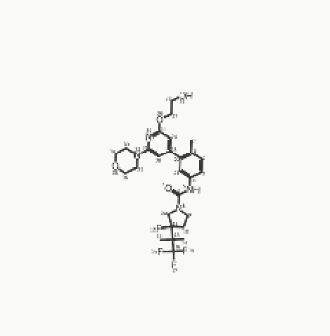 Cc1ccc(NC(=O)N2CCC(F)(C(C)(C)C(F)(F)F)C2)cc1-c1cc(OCCO)nc(N2CCOCC2)c1